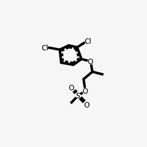 CC(COS(C)(=O)=O)Oc1ccc(Cl)cc1Cl